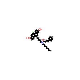 CCCCCCCCN(CCCCC[C@@H]1Cc2cc(O)ccc2C2C1C1CC[C@H](O)[C@@]1(C)C[C@@H]2F)C(=O)CCCc1ccccc1